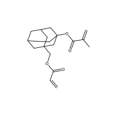 C=CC(=O)OCC12CC3CC(C1)CC(OC(=O)C(=C)C)(C3)C2